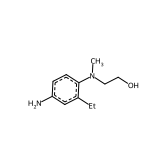 CCc1cc(N)ccc1N(C)CCO